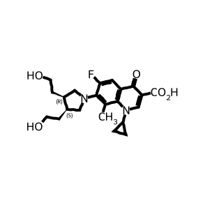 Cc1c(N2C[C@@H](CCO)[C@@H](CCO)C2)c(F)cc2c(=O)c(C(=O)O)cn(C3CC3)c12